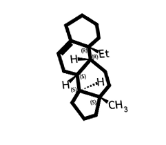 CC[C@]12CCCCC1=CC[C@@H]1[C@H]2CC[C@]2(C)CCC[C@@H]12